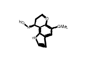 COc1cc2cc[nH]c2c2c1OCCC2=NO